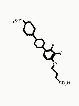 CCCCCC1CCC(C2CCC(c3ccc(OCCCC(=O)O)c(F)c3F)CC2)CC1